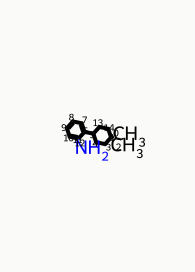 CC1(C)CCC(c2ccccc2N)CC1